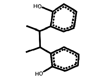 CC(c1ccccc1O)C(C)c1ccccc1O